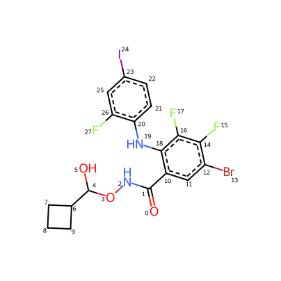 O=C(NOC(O)C1CCC1)c1cc(Br)c(F)c(F)c1Nc1ccc(I)cc1F